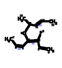 C=C/C(F)=C(\C=C/C)OC(C)/C=C/C